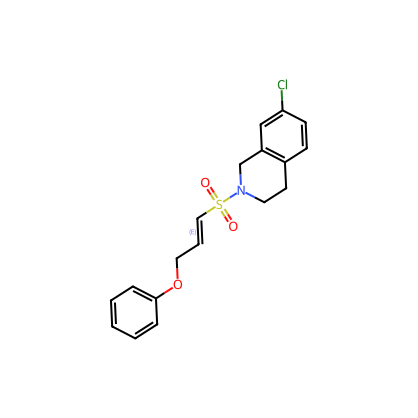 O=S(=O)(/C=C/COc1ccccc1)N1CCc2ccc(Cl)cc2C1